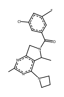 Cc1nc2c(c(N3CCC3)n1)C(C)N(C(=O)c1cc(F)cc(Cl)c1)C2